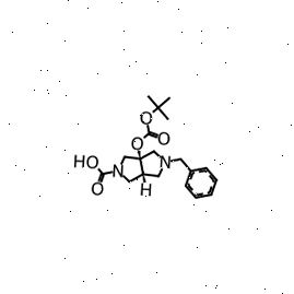 CC(C)(C)OC(=O)O[C@@]12CN(Cc3ccccc3)C[C@@H]1CN(C(=O)O)C2